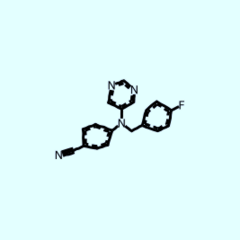 N#Cc1ccc(N(Cc2ccc(F)cc2)c2cncnc2)cc1